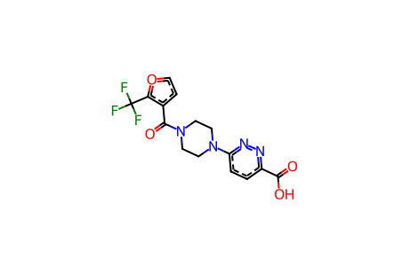 O=C(O)c1ccc(N2CCN(C(=O)c3ccoc3C(F)(F)F)CC2)nn1